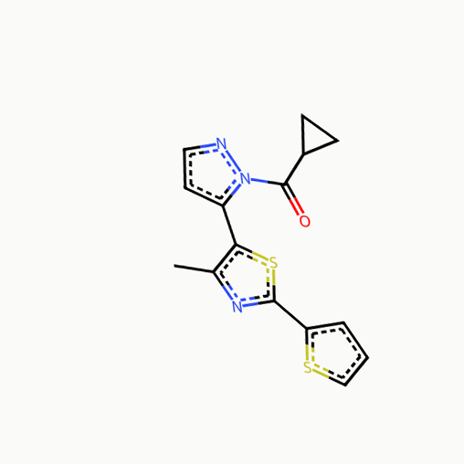 Cc1nc(-c2cccs2)sc1-c1ccnn1C(=O)C1CC1